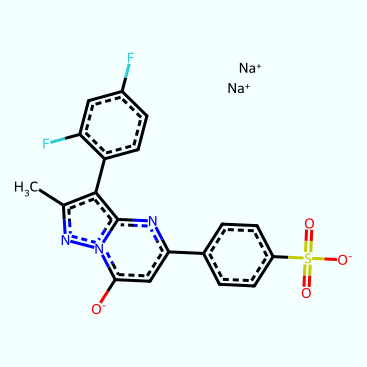 Cc1nn2c([O-])cc(-c3ccc(S(=O)(=O)[O-])cc3)nc2c1-c1ccc(F)cc1F.[Na+].[Na+]